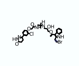 C=C(OCC(O)CNC(C)(C)CNC(=O)COc1ccc(C2=NNC(=O)CC2)cc1Cl)c1c(/C=C\Br)[nH]c2ccccc12